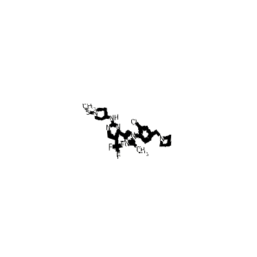 CSN1CCC(Nc2ncc(C(F)(F)F)c(-c3cn(-c4ccc(CN5CCC5)cc4Cl)c(C)n3)n2)CC1